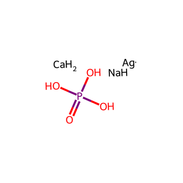 O=P(O)(O)O.[Ag].[CaH2].[NaH]